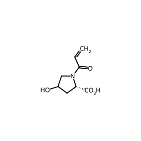 C=CC(=O)N1CC(O)C[C@H]1C(=O)O